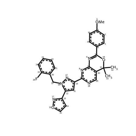 COc1ccc(C2=Nc3nc(-c4cc(-c5ccon5)n(Cc5ccccc5F)n4)ncc3C(C)(C)O2)cc1